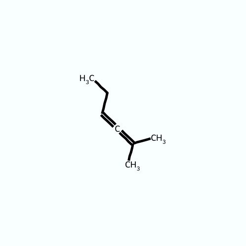 CCC=C=C(C)C